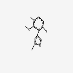 COc1c(C)ccc(F)c1-c1cnn(C)n1